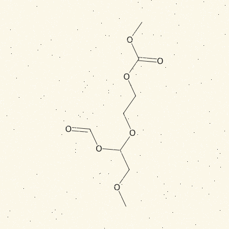 COCC(OC=O)OCCOC(=O)OC